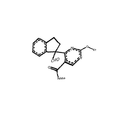 CCOc1ncc(C(=O)NC)c(C2(C=O)CCc3ccccc32)n1